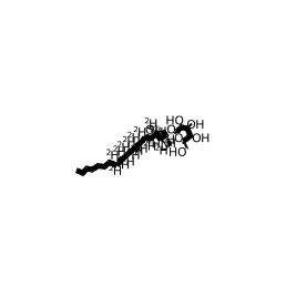 [2H]OC([2H])(C([2H])=C([2H])C([2H])([2H])C([2H])([2H])C([2H])([2H])C([2H])([2H])C([2H])([2H])C([2H])CCCCCCC)C([2H])(N([2H])[2H])C([2H])([2H])OC1O[C@H](CO)[C@@H](O)[C@H](O)[C@H]1O